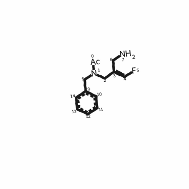 CC(=O)N(C/C(=C/F)CN)Cc1ccccc1